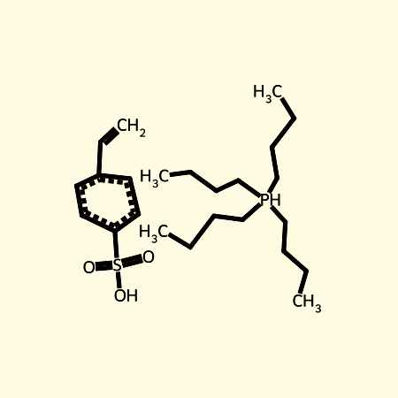 C=Cc1ccc(S(=O)(=O)O)cc1.CCCC[PH](CCCC)(CCCC)CCCC